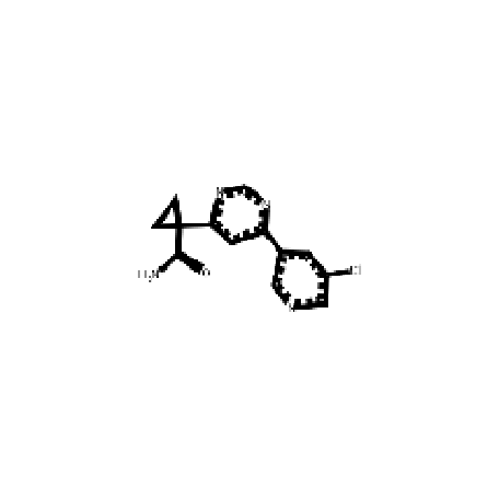 NC(=O)C1(c2cc(-c3cncc(Cl)c3)ncn2)CC1